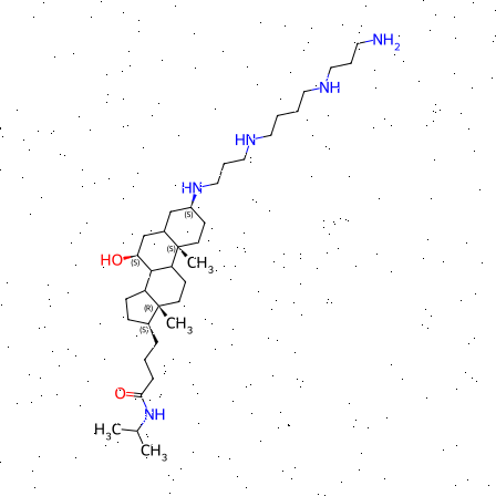 CC(C)NC(=O)CCC[C@H]1CCC2C3C(CC[C@@]21C)[C@@]1(C)CC[C@H](NCCCNCCCCNCCCN)CC1C[C@@H]3O